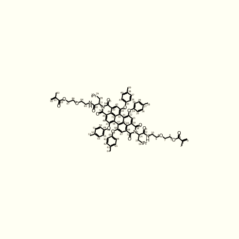 C=C(C)C(=O)OCCOCCNC(=O)C(CC(C)C)N1C(=O)c2cc(Oc3ccc(C)cc3)c3c4c(Oc5ccc(C)cc5)cc5c6c(cc(Oc7ccc(C)cc7)c(c7c(Oc8ccc(C)cc8)cc(c2c37)C1=O)c64)C(=O)N(C(CC(C)C)C(=O)NCCOCCOC(=O)C(=C)C)C5=O